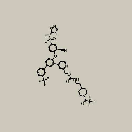 N#Cc1cc(S(=O)(=O)Nc2ncns2)ccc1Oc1ccc(-c2cccc(C(F)(F)F)c2)cc1-c1ccnc(COC(=O)NCCC2CCN(C(=O)C(F)(F)F)CC2)c1